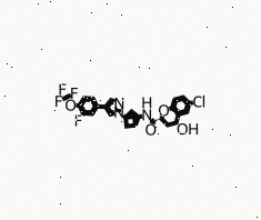 O=C(NC1CC2(n3cc(-c4ccc(OC(F)(F)F)c(F)c4)cn3)CC1C2)[C@H]1C[C@@H](O)c2cc(Cl)ccc2O1